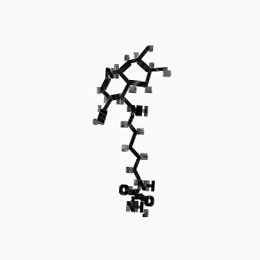 C#Cc1cnc2cc(C)c(C)cc2c1NCCCCCNS(N)(=O)=O